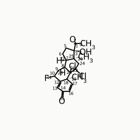 CC(=O)[C@@]1(O)CC[C@H]2[C@@H]3CC(F)C4=CC(=O)C=C[C@]4(C)[C@@]3(Cl)C(Cl)C[C@@]21C